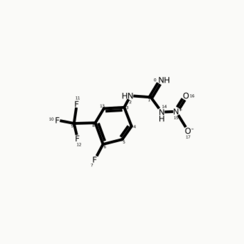 N=C(Nc1ccc(F)c(C(F)(F)F)c1)N[N+](=O)[O-]